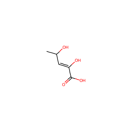 CC(O)C=C(O)C(=O)O